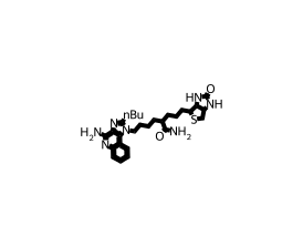 CCCCc1nc2c(N)nc3ccccc3c2n1CCCCC(CCCC1SCC2NC(=O)NC21)C(N)=O